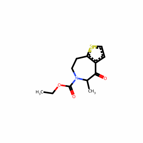 CCOC(=O)N1CCc2sccc2C(=O)C1C